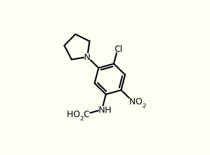 O=C(O)Nc1cc(N2CCCC2)c(Cl)cc1[N+](=O)[O-]